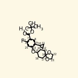 CC(C)(C)OC(=O)c1cc(C2CC2)c(OC2CCC3(CC2)OCCO3)cc1F